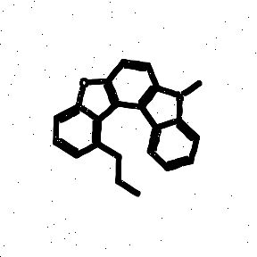 CCCc1cccc2oc3ccc4c(c5ccccc5n4C)c3c12